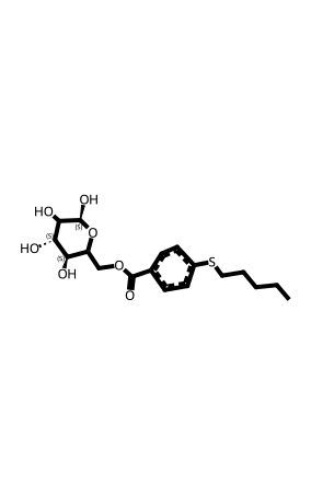 CCCCCSc1ccc(C(=O)OCC2O[C@H](O)C(O)[C@@H](O)[C@@H]2O)cc1